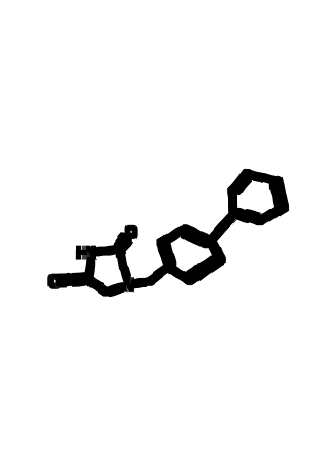 O=C1CN(Cc2ccc(-c3ccccc3)cc2)C(=O)N1